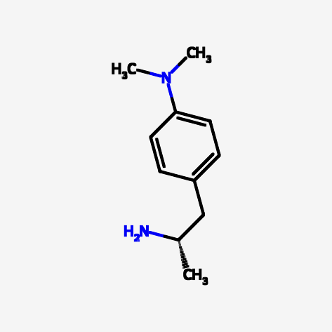 C[C@H](N)Cc1ccc(N(C)C)cc1